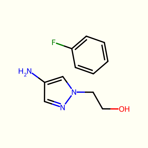 Fc1ccccc1.Nc1cnn(CCO)c1